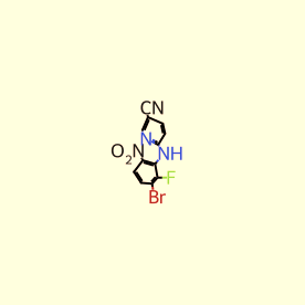 N#Cc1ccc(Nc2c([N+](=O)[O-])ccc(Br)c2F)nc1